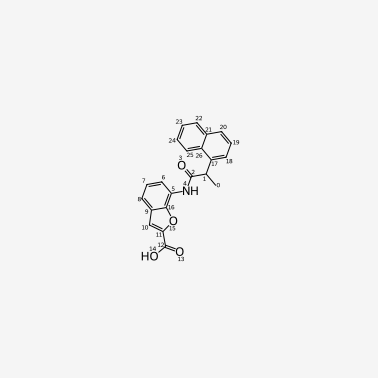 CC(C(=O)Nc1cccc2cc(C(=O)O)oc12)c1cccc2ccccc12